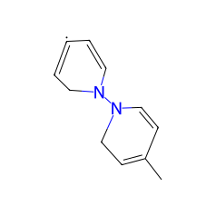 CC1=CCN(N2C=C[C]=CC2)C=C1